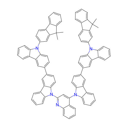 CC1(C)c2ccccc2-c2ccc(-n3c4ccccc4c4cc(-c5ccc6c(c5)c5ccccc5n6-c5cc(-n6c7ccccc7c7cc(-c8ccc9c(c8)c8ccccc8n9-c8ccc9c(c8)C(C)(C)c8ccccc8-9)ccc76)c6ccccc6n5)ccc43)cc21